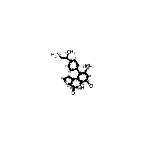 CC(CN)c1ccc(-c2c(O)cc(Cl)c3[nH]c(=O)c4sccc4c23)cc1.Cl